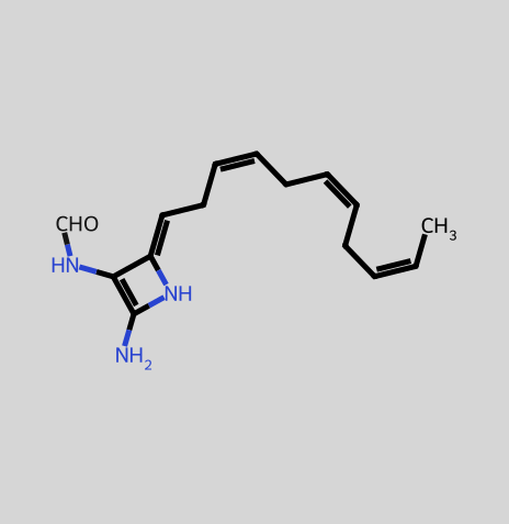 C/C=C\C/C=C\C/C=C\C/C=C1\NC(N)=C1NC=O